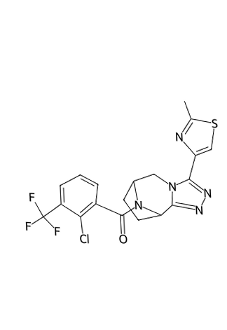 Cc1nc(-c2nnc3n2CC2CCC3N2C(=O)c2cccc(C(F)(F)F)c2Cl)cs1